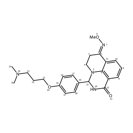 CON=C1CCN2c3c(cccc31)C(=O)NC2c1ccc(OCCCN(C)C)cc1